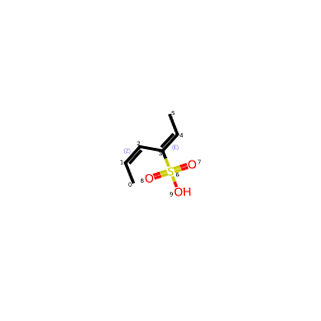 C/C=C\C(=C/C)S(=O)(=O)O